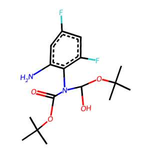 CC(C)(C)OC(=O)N(c1c(N)cc(F)cc1F)C(O)OC(C)(C)C